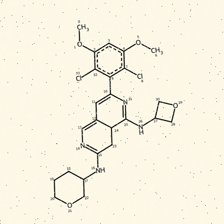 COc1cc(OC)c(Cl)c(C2=CC3=CN=C(NC4CCCOC4)CC3C(NC3COC3)=N2)c1Cl